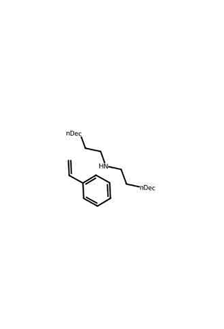 C=Cc1ccccc1.CCCCCCCCCCCCNCCCCCCCCCCCC